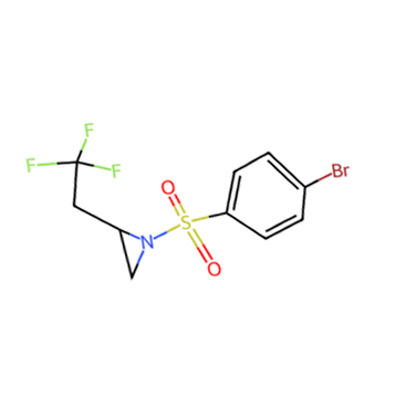 O=S(=O)(c1ccc(Br)cc1)N1CC1CC(F)(F)F